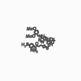 Bc1ccc(NC(=O)CCC2CC(N(C)C[C@H]3C[C@@H](n4ccc5c(NCc6ccc(OC)cc6OC)ncnc54)[C@@H]4OC(C)(C)O[C@H]34)C2)c(N)c1